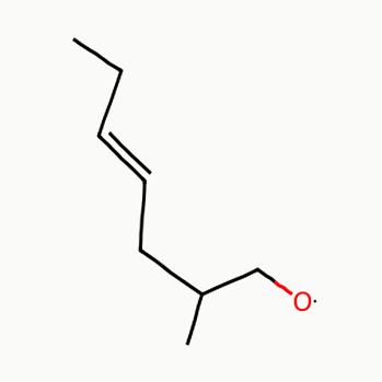 CCC=CCC(C)C[O]